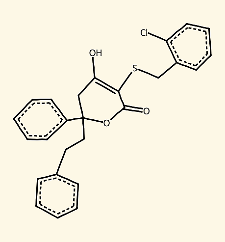 O=C1OC(CCc2ccccc2)(c2ccccc2)CC(O)=C1SCc1ccccc1Cl